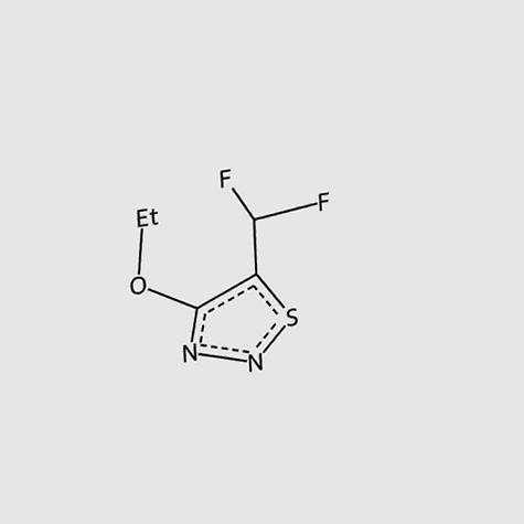 CCOc1nnsc1C(F)F